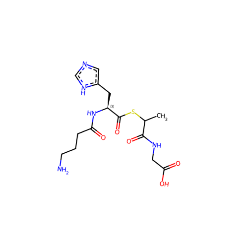 CC(SC(=O)[C@H](Cc1cnc[nH]1)NC(=O)CCCN)C(=O)NCC(=O)O